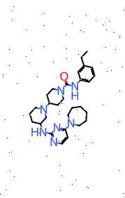 CCc1cccc(NC(=O)N2CCC(N3CCCC(Nc4nccc(N5CCCCCC5)n4)C3)CC2)c1